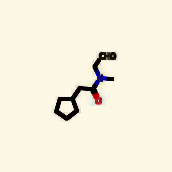 CN(CC=O)C(=O)CC1CCCC1